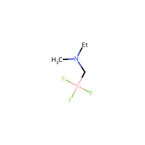 CCN(C)C[B-](F)(F)F